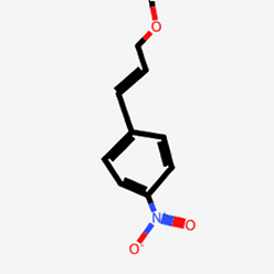 COC/C=C/c1ccc([N+](=O)[O-])cc1